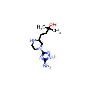 CC(C)(O)CCC1CN(c2n[nH]c(N)n2)CCN1